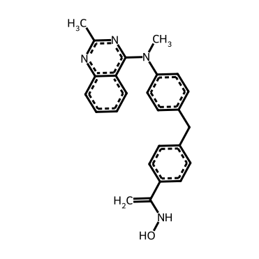 C=C(NO)c1ccc(Cc2ccc(N(C)c3nc(C)nc4ccccc34)cc2)cc1